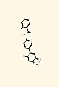 O=C(Nc1ccc(-c2cc3nsnc3cc2Cl)cn1)c1ccccc1F